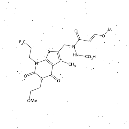 CCOC=CC(=O)N(Cc1sc2c(c1C)c(=O)n(CCOC)c(=O)n2CCC(F)(F)F)NC(=O)O